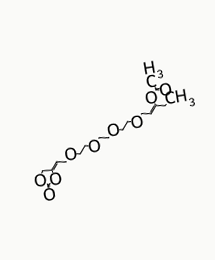 CCC(=CCOCCOCCOCCOCC=C1COC(=O)O1)OC(C)=O